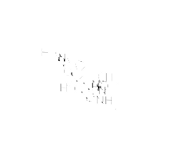 Cc1nc(-c2c(N)ccnc2N[C@@H](C)c2cc3cccc(-c4cnn(C)c4)c3c(=O)n2C2CC2)no1